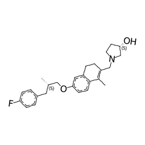 CC1=C(CN2CC[C@H](O)C2)CCc2cc(OC[C@@H](C)Cc3ccc(F)cc3)ccc21